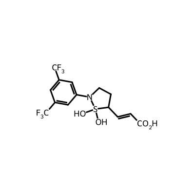 O=C(O)/C=C/C1CCN(c2cc(C(F)(F)F)cc(C(F)(F)F)c2)S1(O)O